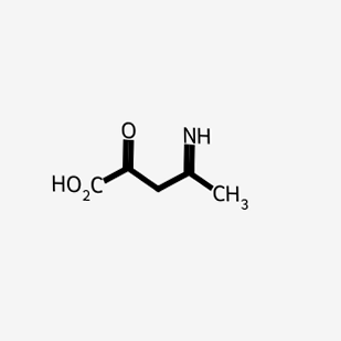 CC(=N)CC(=O)C(=O)O